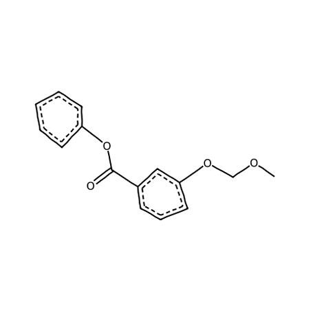 COCOc1cccc(C(=O)Oc2ccccc2)c1